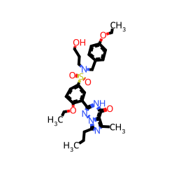 CCCc1nc(C)c2c(=O)[nH]c(-c3cc(S(=O)(=O)N(CCCO)Cc4ccc(OCC)cc4)ccc3OCC)nn12